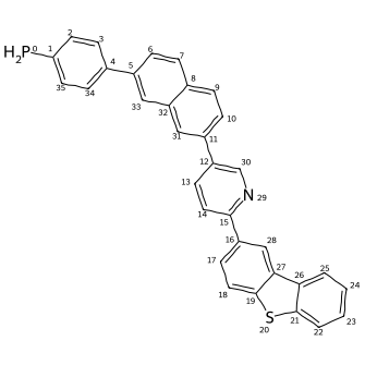 Pc1ccc(-c2ccc3ccc(-c4ccc(-c5ccc6sc7ccccc7c6c5)nc4)cc3c2)cc1